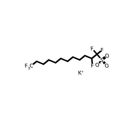 O=S(=O)([O-])C(F)(F)C(F)CCCCCCCCCC(F)(F)F.[K+]